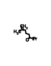 CC(C)C(=O)CCCN(C)C